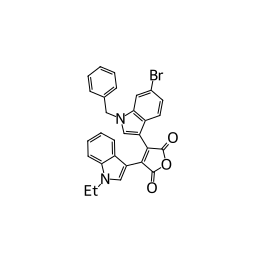 CCn1cc(C2=C(c3cn(Cc4ccccc4)c4cc(Br)ccc34)C(=O)OC2=O)c2ccccc21